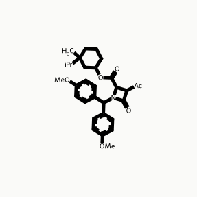 COc1ccc(C(c2ccc(OC)cc2)N2C(=O)C(C(C)=O)C2C(=O)OC2CCCC(C)(C(C)C)C2)cc1